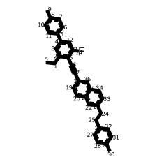 CCc1cc(-c2ccc(C)cc2)cc(F)c1C#Cc1ccc2cc(CCc3ccc(C)cc3)ccc2c1